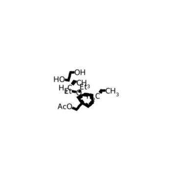 C=CC.C=CC.CC(=O)OCc1ccccc1.CCOCC.OCCO